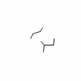 CCCCCCCCCCCC(=O)OCC.CCOC(=O)C(S)CS